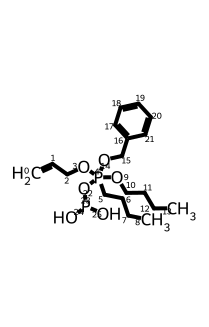 C=CCOP(CCCC)(OCCCC)(OCc1ccccc1)OP(O)O